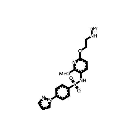 CCCNCCOc1ccc(NS(=O)(=O)c2ccc(-n3cccn3)cc2)c(OC)n1